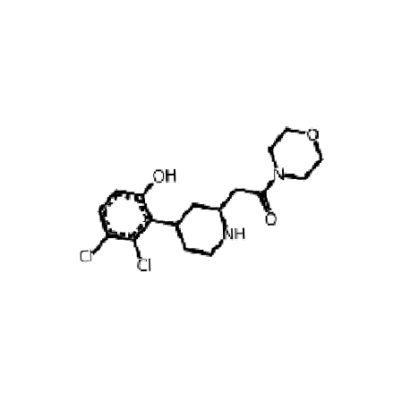 O=C(CC1CC(c2c(O)ccc(Cl)c2Cl)CCN1)N1CCOCC1